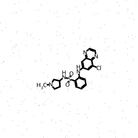 CN1CCC(NS(=O)(=O)c2ccccc2Nc2cc(Cl)c3nccnc3c2)C1